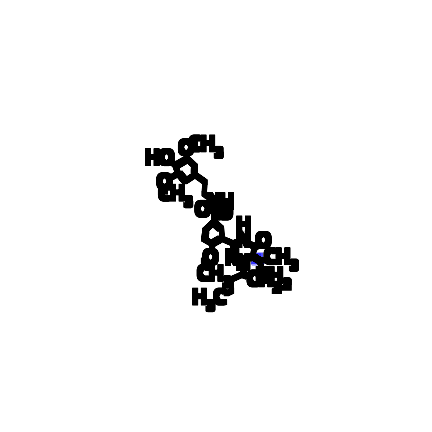 C=C(CCC)N1N=C(c2cc(S(=O)(=O)NCCc3cc(OC)c(O)c(OC)c3)ccc2OCC)NC(=O)/C1=C(\C)N